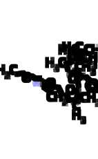 C=CCOC/C=C/[C@H]1CC(=C)C(CC[C@H]2C[C@@H](C)C(=C)[C@@H](CC3O[C@H](C[C@H](C)CO[Si](C)(C)C(C)(C)C)[C@H](C)[C@H]3Cc3ccccc3)O2)O1